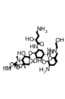 CN(C(=O)OC(C)(C)C)[C@@H]1[C@@H](O)[C@@H](O[C@@H]2[C@@H](O)[C@H](O[C@H]3OC(CNCCO)=CC[C@H]3N)[C@@H](N)C[C@H]2NC(=O)[C@H](O)CCN)OC[C@]1(C)O